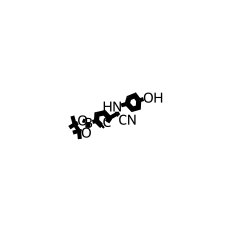 CC1(C)OB(c2ccc(C(C#N)Nc3ccc(O)cc3)cc2)OC1(C)C